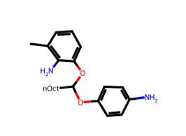 CCCCCCCCC(Oc1ccc(N)cc1)Oc1cccc(C)c1N